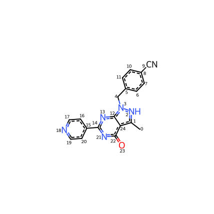 Cc1[nH]n(Cc2ccc(C#N)cc2)c2nc(-c3ccncc3)nc(=O)c1-2